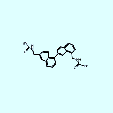 CC(C)C(=O)NCc1ccc2c(-c3ccc4cccc(CNC(=O)C(C)C)c4c3)cccc2c1